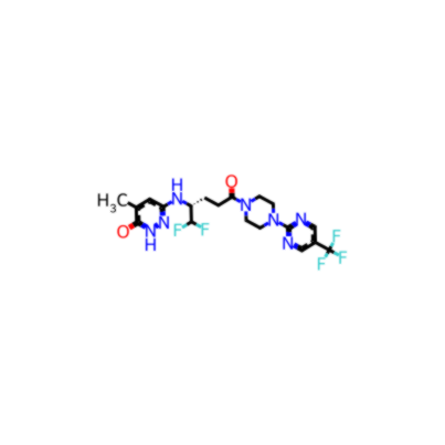 Cc1cc(N[C@H](CCC(=O)N2CCN(c3ncc(C(F)(F)F)cn3)CC2)C(F)F)n[nH]c1=O